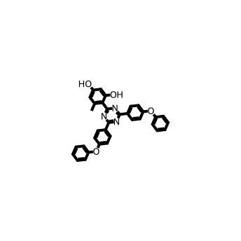 Cc1cc(O)cc(O)c1-c1nc(-c2ccc(Oc3ccccc3)cc2)nc(-c2ccc(Oc3ccccc3)cc2)n1